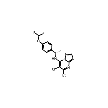 CCc1nc2ncnn2c(N[C@@H](C)c2ccc(OC(F)F)cc2)c1Cl